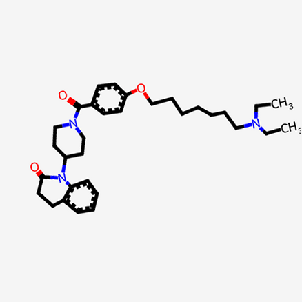 CCN(CC)CCCCCCCOc1ccc(C(=O)N2CCC(N3C(=O)CCc4ccccc43)CC2)cc1